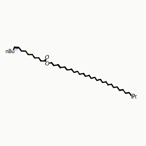 CCCC/C=C\CCCCCCCC(=O)OCCCCCCCCCCCCCCCCCCCCCCCCCCCC(C)C